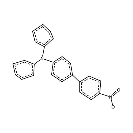 O=[N+]([O-])c1ccc(-c2ccc(N(c3ccccc3)c3ccccc3)cc2)cc1